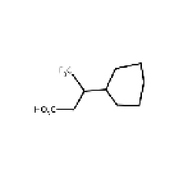 O=C(O)CC(C1CCCCC1)C(F)(F)F